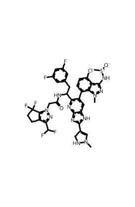 CN1C=C(c2nc3nc(C(Cc4cc(F)cc(F)c4)NC(=O)Cn4nc(C(F)F)c5c4C(F)(F)CC5)c(-c4ccc(Cl)c5c(N[S+](C)[O-])nn(C)c45)cc3[nH]2)CN1